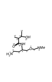 CNCOCC(CCN)NC(=O)C(C)C(C)O